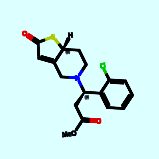 COC(=O)C[C@H](c1ccccc1Cl)N1CC[C@H]2SC(=O)C=C2C1